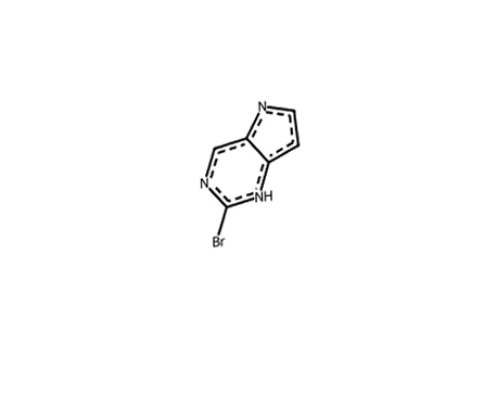 Brc1ncc2nccc-2[nH]1